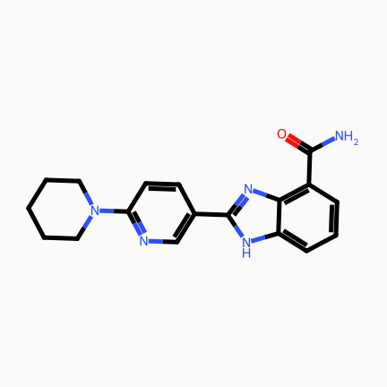 NC(=O)c1cccc2[nH]c(-c3ccc(N4CCCCC4)nc3)nc12